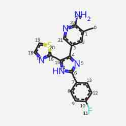 Cc1cc(-c2nc(-c3ccc(F)cc3)[nH]c2-c2nccs2)cnc1N